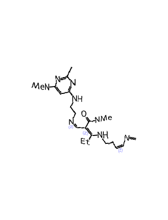 C=N/C=C\CCN/C(CC)=C(/C=N\CCNc1cc(NC)nc(C)n1)C(=O)NC